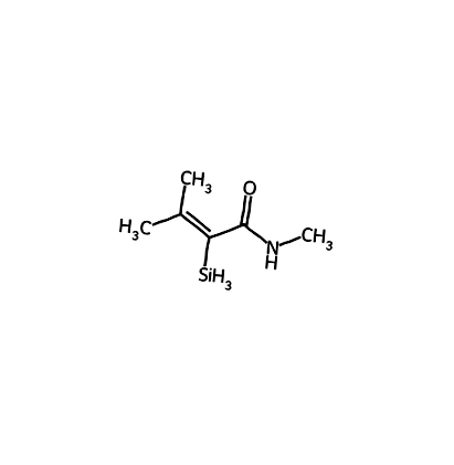 CNC(=O)C([SiH3])=C(C)C